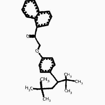 CC(C)(C)CC(c1ccc(OCC(=O)c2cccc3ccccc23)cc1)C(C)(C)C